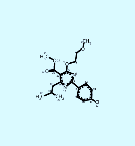 COCCOc1nc(-c2ccc(Cl)cc2)nc(CC(C)C)c1C(=O)OC